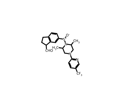 CC1CN(c2ccc(C(F)(F)F)cn2)CC(C)N1[S+]([O-])c1ccc2c(c1)C(C=O)CC2